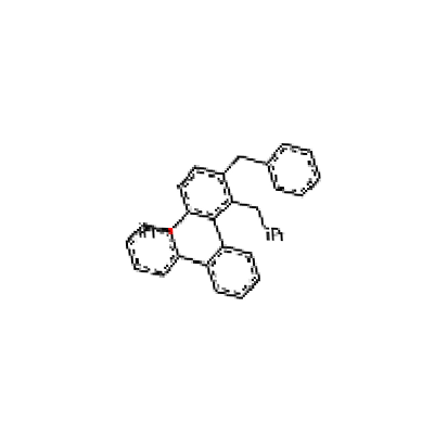 CC(C)Cc1ccc(Cc2ccccc2)c(CC(C)C)c1-c1ccccc1-c1ccccc1